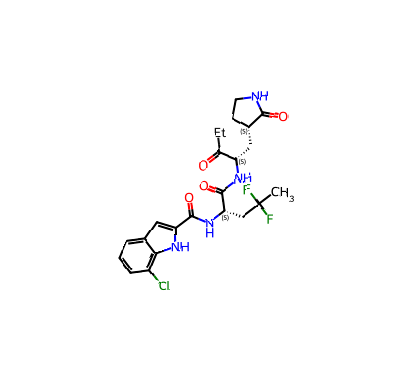 CCC(=O)[C@H](C[C@@H]1CCNC1=O)NC(=O)[C@H](CC(C)(F)F)NC(=O)c1cc2cccc(Cl)c2[nH]1